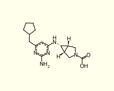 Nc1nc(CC2CCCC2)cc(N[C@@H]2[C@@H]3CN(C(=O)O)C[C@@H]32)n1